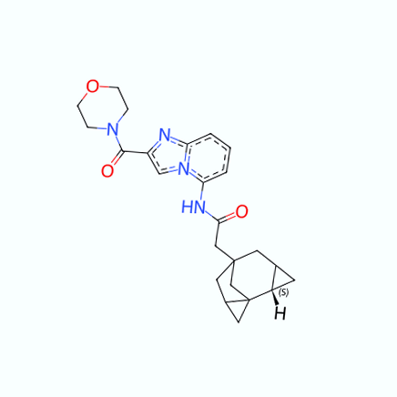 O=C(CC12CC3C[C@@H]3C3(CC3C1)C2)Nc1cccc2nc(C(=O)N3CCOCC3)cn12